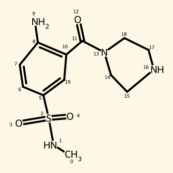 CNS(=O)(=O)c1ccc(N)c(C(=O)N2CCNCC2)c1